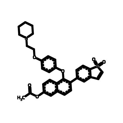 CC(=O)Oc1ccc2c(Oc3ccc(OCCN4CCCCC4)cc3)c(-c3ccc4c(c3)C=CS4(=O)=O)ccc2c1